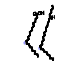 CCCCCCCC/C=C\CCCCCCCCCCCC(=O)O.CCCCCCCC/C=C\CCCCCCCCCCCCNCCCCC